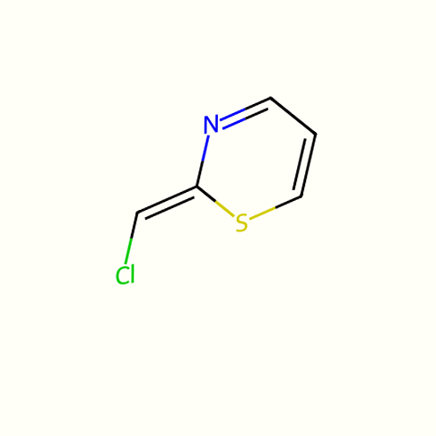 Cl/C=C1/N=CC=CS1